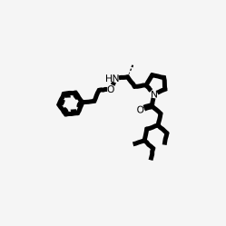 CCC(C)CC(CC)CC(=O)N1CCCC1C[C@@H](C)NOCCc1ccccc1